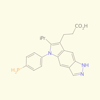 CC(C)c1c(CCC(=O)O)c2cc3[nH]ncc3cc2n1-c1ccc(P)cc1